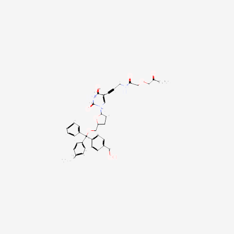 CNC(=O)COCC(=O)NCC#Cc1cn(C2CCC(COC(c3ccccc3)(c3ccc(CO)cc3)c3ccc(OC)cc3)O2)c(=O)[nH]c1=O